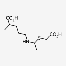 CC(NCCCC(C)C(=O)O)SCC(=O)O